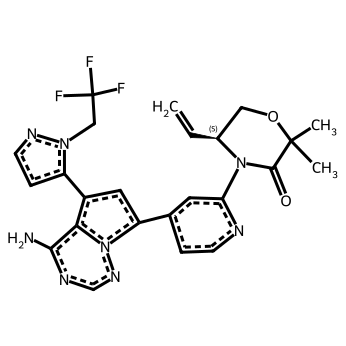 C=C[C@H]1COC(C)(C)C(=O)N1c1cc(-c2cc(-c3ccnn3CC(F)(F)F)c3c(N)ncnn23)ccn1